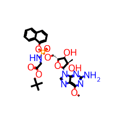 COc1nc(N)nc2c1ncn2[C@@H]1O[C@H](COP(=O)(NCC(=O)OCC(C)(C)C)Oc2cccc3ccccc23)[C@H](O)[C@]1(C)O